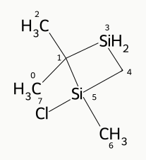 CC1(C)[SiH2]C[Si]1(C)Cl